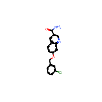 NC(=O)c1cnc2cc(OCc3cccc(Cl)c3)ccc2c1